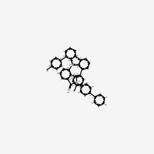 Cc1ccc(-c2cccc3c4cccc(-c5ccc(C)cc5)c4n(-c4cccc5c4C(=O)N(c4ccc(-c6ccccc6)cc4)C5=O)c23)cc1